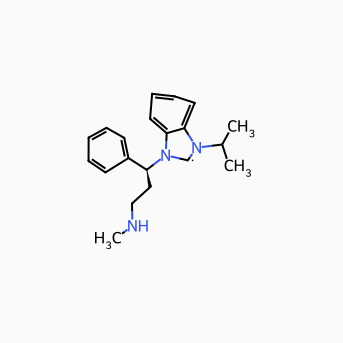 CNCC[C@@H](c1ccccc1)N1[CH]N(C(C)C)c2ccccc21